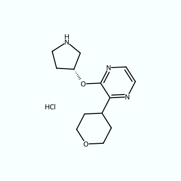 Cl.c1cnc(C2CCOCC2)c(O[C@@H]2CCNC2)n1